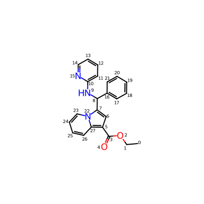 CCOC(=O)c1cc(C(Nc2ccccn2)c2ccccc2)n2ccccc12